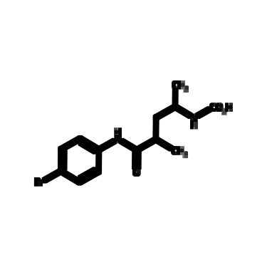 CC(CC(C)C(=O)Nc1ccc(Br)cc1)NC(=O)O